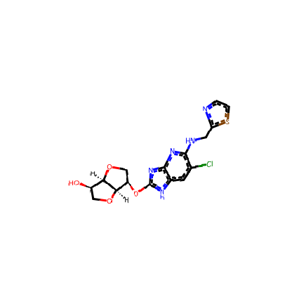 O[C@@H]1CO[C@H]2[C@@H]1OC[C@H]2Oc1nc2nc(NCc3nccs3)c(Cl)cc2[nH]1